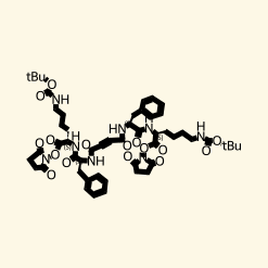 CC(C)(C)OC(=O)NCCCC[C@H](NC(=O)[C@H](Cc1ccccc1)NC(=O)C#CC(=O)N[C@@H](Cc1ccccc1)C(=O)N[C@@H](CCCCNC(=O)OC(C)(C)C)C(=O)ON1C(=O)CCC1=O)C(=O)ON1C(=O)CCC1=O